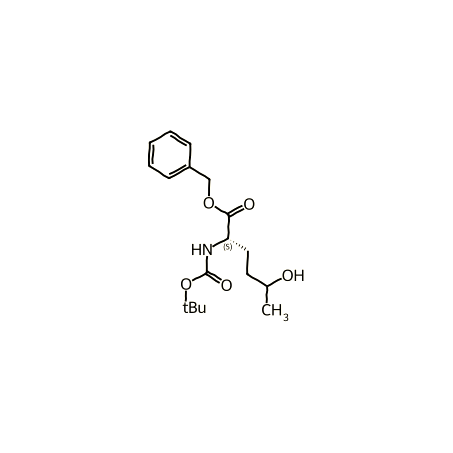 CC(O)CC[C@H](NC(=O)OC(C)(C)C)C(=O)OCc1ccccc1